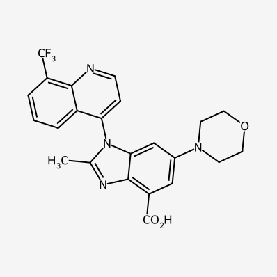 Cc1nc2c(C(=O)O)cc(N3CCOCC3)cc2n1-c1ccnc2c(C(F)(F)F)cccc12